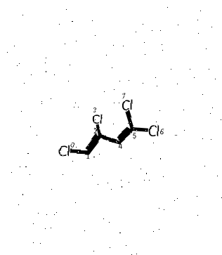 ClC=C(Cl)C=C(Cl)Cl